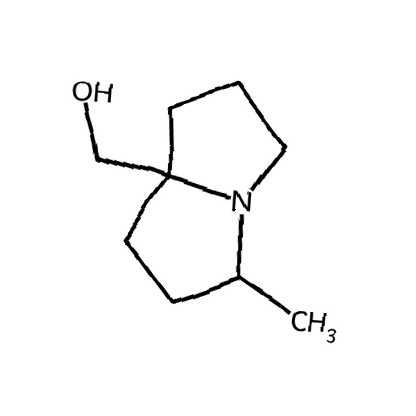 CC1CCC2(CO)CCCN12